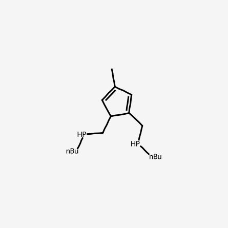 CCCCPCC1=CC(C)=CC1CPCCCC